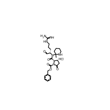 CC1(N(C(=O)[C@H]2CCC(=O)N2C(=O)OCc2ccccc2)[C@H](C=O)CCCNC(=N)N)CCCCN1.Cl